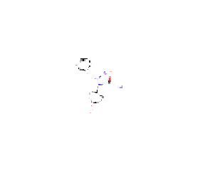 [NH-]c1on[n+](Cc2ccccc2)c1-c1ccc(O)cc1